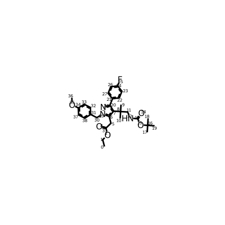 CCOC(=O)Cc1c(C(C)(C)CNC(=O)OC(C)(C)C)c(-c2ccc(F)cc2)nn1Cc1ccc(OC)cc1